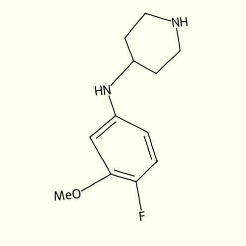 COc1cc(NC2CCNCC2)ccc1F